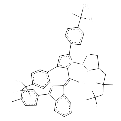 C/C(=C1/N=C(c2ccc(C)cc2)c2ccccc21)c1c(-c2ccc(C(C)(C)C)cc2)cc(-c2ccc(C(C)(C)C)cc2)n1B1OCC(CC(F)(F)CC(F)(F)F)O1